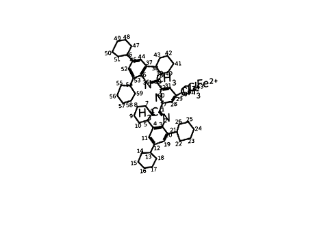 CC(=Nc1c(C2CCCCC2)cc(C2CCCCC2)cc1C1CCCCC1)c1cc(C)cc(C(C)=Nc2c(C3CCCCC3)cc(C3CCCCC3)cc2C2CCCCC2)n1.[Cl-].[Cl-].[Fe+2]